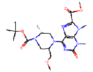 COC[C@H]1CN(C(=O)OC(C)(C)C)[C@H](C)CN1c1nc(=O)n(C)c2c1nc(C(=O)OC)n2C